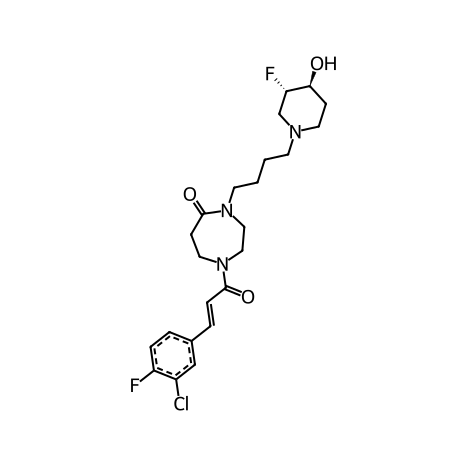 O=C(/C=C/c1ccc(F)c(Cl)c1)N1CCC(=O)N(CCCCN2CC[C@H](O)[C@@H](F)C2)CC1